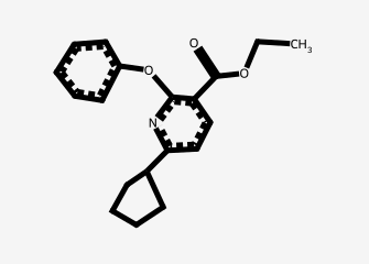 CCOC(=O)c1ccc(C2CCCC2)nc1Oc1ccccc1